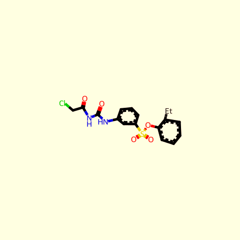 CCc1ccccc1OS(=O)(=O)c1cccc(NC(=O)NC(=O)CCl)c1